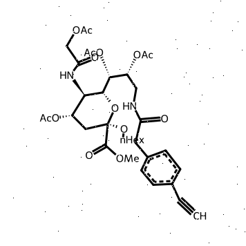 C#Cc1ccc(CC(=O)NC[C@@H](OC(C)=O)[C@@H](OC(C)=O)[C@@H]2O[C@@](OCCCCCC)(C(=O)OC)C[C@H](OC(C)=O)[C@H]2NC(=O)COC(C)=O)cc1